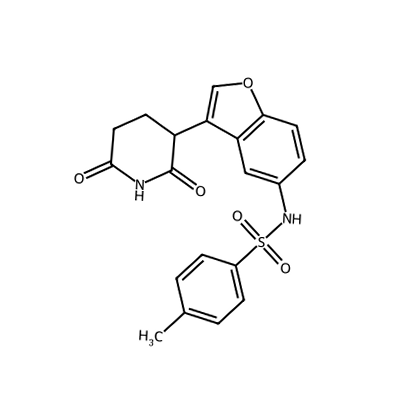 Cc1ccc(S(=O)(=O)Nc2ccc3occ(C4CCC(=O)NC4=O)c3c2)cc1